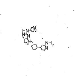 Cn1cc(Nc2ncc3cnn(Cc4cccc(-c5ccnc(N)c5)c4)c3n2)cn1